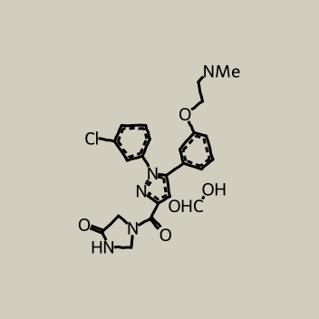 CNCCOc1cccc(-c2cc(C(=O)N3CNC(=O)C3)nn2-c2cccc(Cl)c2)c1.O=CO